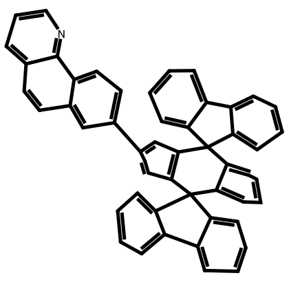 c1ccc2c(c1)-c1ccccc1C21c2ccccc2C2(c3ccccc3-c3ccccc32)c2cc(-c3ccc4c(ccc5cccnc54)c3)ccc21